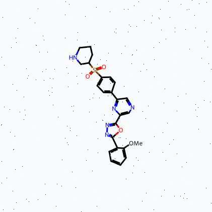 COc1ccccc1-c1nnc(-c2cncc(-c3ccc(S(=O)(=O)C4CCCNC4)cc3)n2)o1